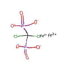 O=P([O-])([O-])C(Cl)(Cl)P(=O)([O-])[O-].[Fe+2].[Fe+2]